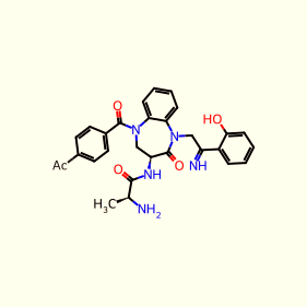 CC(=O)c1ccc(C(=O)N2C[C@H](NC(=O)[C@H](C)N)C(=O)N(CC(=N)c3ccccc3O)c3ccccc32)cc1